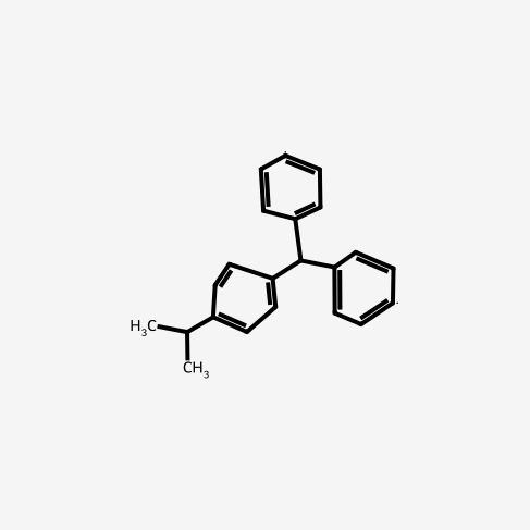 CC(C)c1ccc(C(c2cc[c]cc2)c2cc[c]cc2)cc1